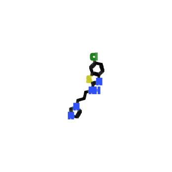 Clc1ccc2nc(NCCCn3ccnc3)sc2c1